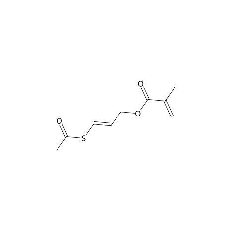 C=C(C)C(=O)OC/C=C/SC(C)=O